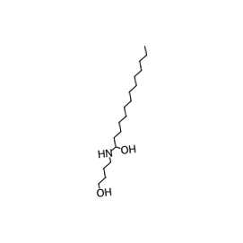 CCCCCCCCCCCCCC(O)NCCCCO